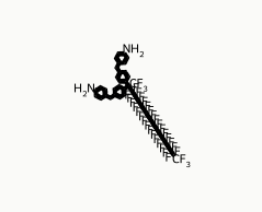 Nc1ccc(Cc2ccc(C(c3ccc(Cc4ccc(N)cc4)cc3)(C(F)(F)F)C(F)(F)C(F)(F)C(F)(F)C(F)(F)C(F)(F)C(F)(F)C(F)(F)C(F)(F)C(F)(F)C(F)(F)C(F)(F)C(F)(F)C(F)(F)C(F)(F)C(F)(F)C(F)(F)F)cc2)cc1